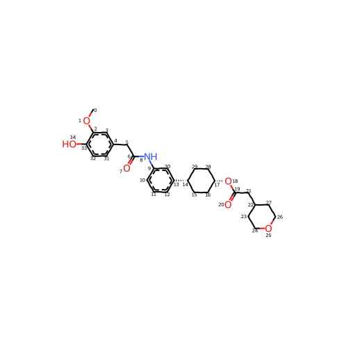 COc1cc(CC(=O)Nc2cccc([C@H]3CC[C@@H](OC(=O)CC4CCOCC4)CC3)c2)ccc1O